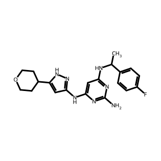 CC(Nc1cc(Nc2cc(C3CCOCC3)[nH]n2)nc(N)n1)c1ccc(F)cc1